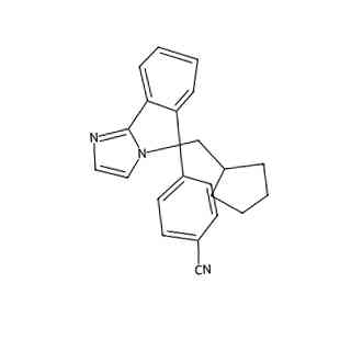 N#Cc1ccc(C2(CC3CCCC3)c3ccccc3-c3nccn32)cc1